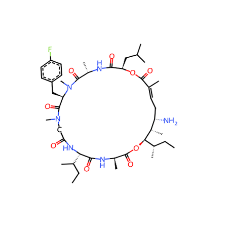 CCC(C)[C@@H]1NC(=O)CN(C)C(=O)[C@@H](Cc2ccc(F)cc2)N(C)C(=O)[C@H](C)NC(=O)[C@@H](CC(C)C)OC(=O)/C(C)=C/C[C@H](N)[C@H](C)[C@@H]([C@@H](C)CC)OC(=O)[C@@H](C)NC1=O